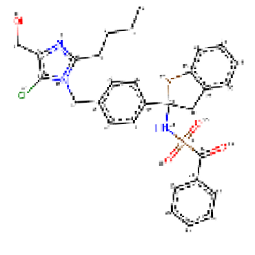 CCCCc1nc(CO)c(Cl)n1Cc1ccc(C2(NS(=O)(=O)C(=O)c3ccccc3)Cc3ccccc3S2)cc1